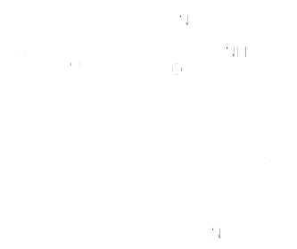 O=COc1ccc2nc(Nc3ccc(Sc4ccncc4)cc3)oc2c1